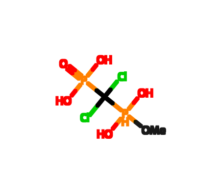 CO[PH](O)(O)C(Cl)(Cl)P(=O)(O)O